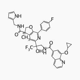 C[C@]1(C(=O)NCc2ccc[nH]2)COc2c1cc(C(O)(CNC(=O)c1cc(OC3CC3)c3ncccc3c1)C(F)(F)F)nc2-c1ccc(F)cc1